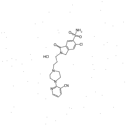 Cl.N#Cc1cccnc1N1CCN(CCCN2Cc3cc(Cl)c(S(N)(=O)=O)cc3C2=O)CC1